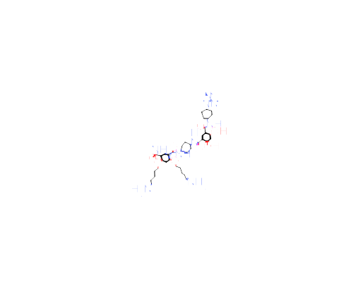 CN(C)C(=N[C@H]1CC[C@@H](NC(=O)c2cc(C(=O)N[C@H]3CC[C@@H](NC(=O)c4cc(C(N)=O)c(OCCCCCN)cc4OCCCCCN)CC3)c(O)cc2O)CC1)N(C)C